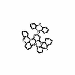 c1ccc2c(c1)Sc1ccccc1N2c1cc2c3c(c1)n1c4ccccc4sc4cccc(c41)n-3c1cccc3sc4ccccc4n2c31